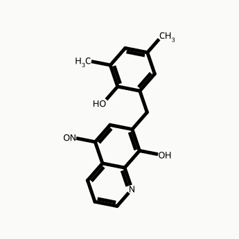 Cc1cc(C)c(O)c(Cc2cc(N=O)c3cccnc3c2O)c1